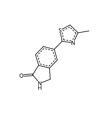 Cc1csc(-c2ccc3c(c2)CNC3=O)n1